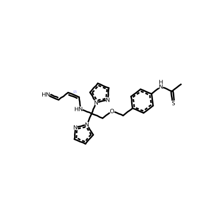 CC(=S)Nc1ccc(COCC(N/C=C\C=N)(n2cccn2)n2cccn2)cc1